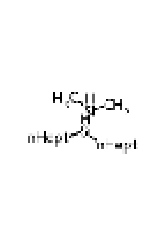 CCCCCCC[SiH](CCCCCCC)[SiH](C)C